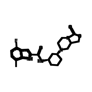 Cc1ccc(F)c2cc(C(=O)N[C@@H]3CCC[C@H](N4CCN5C(=O)OCC5C4)C3)[nH]c12